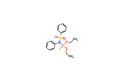 CCOP(=S)(OCC)N(c1ccccc1)S(=O)(=O)c1ccccc1